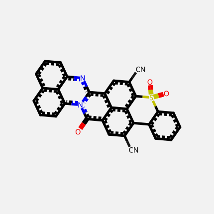 N#Cc1cc2c(=O)n3c4cccc5cccc(nc3c3cc(C#N)c6c(c1-c1ccccc1S6(=O)=O)c23)c54